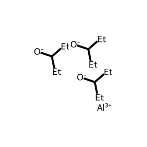 CCC([O-])CC.CCC([O-])CC.CCC([O-])CC.[Al+3]